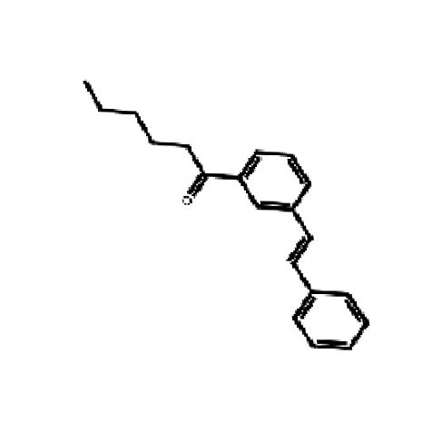 CCCCCC(=O)c1cccc(C=Cc2ccccc2)c1